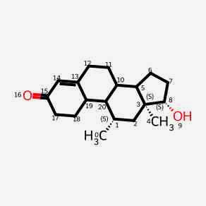 C[C@H]1C[C@@]2(C)C(CC[C@@H]2O)C2CCC3=CC(=O)CCC3C21